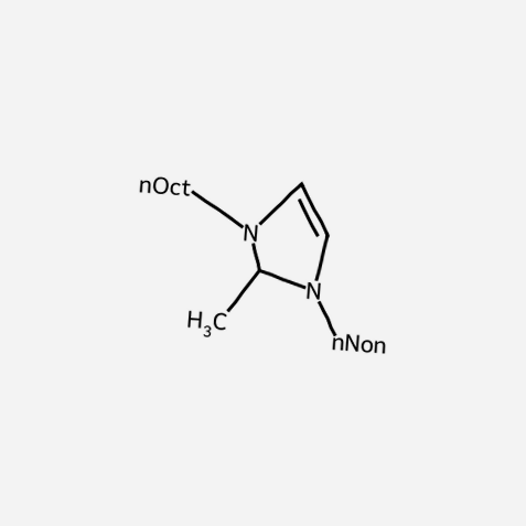 CCCCCCCCCN1C=CN(CCCCCCCC)C1C